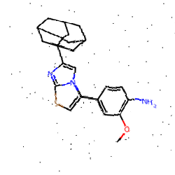 COc1cc(-c2csc3nc(C45CC6CC(CC(C6)C4)C5)cn23)ccc1N